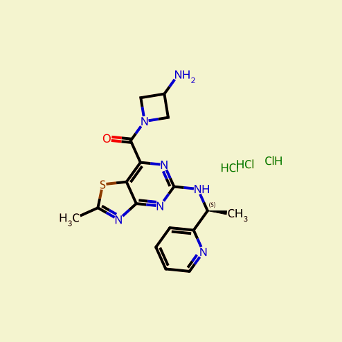 Cc1nc2nc(N[C@@H](C)c3ccccn3)nc(C(=O)N3CC(N)C3)c2s1.Cl.Cl.Cl